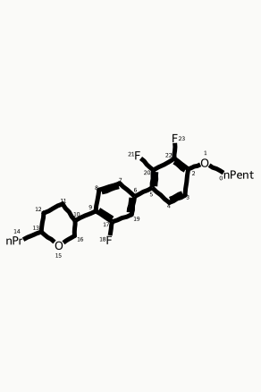 CCCCCOc1ccc(-c2ccc(C3CCC(CCC)OC3)c(F)c2)c(F)c1F